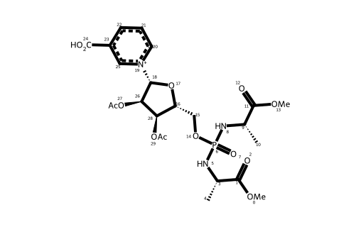 COC(=O)[C@H](C)NP(=O)(N[C@@H](C)C(=O)OC)OC[C@H]1O[C@@H]([n+]2cccc(C(=O)O)c2)[C@H](OC(C)=O)[C@@H]1OC(C)=O